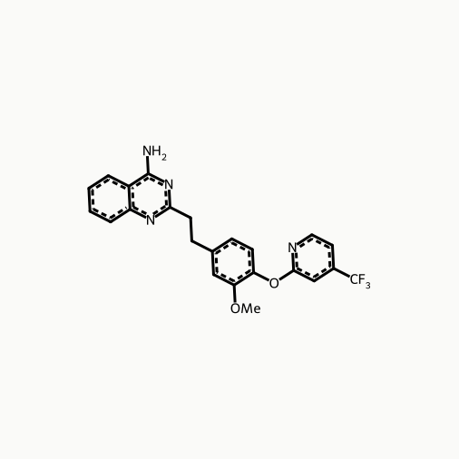 COc1cc(CCc2nc(N)c3ccccc3n2)ccc1Oc1cc(C(F)(F)F)ccn1